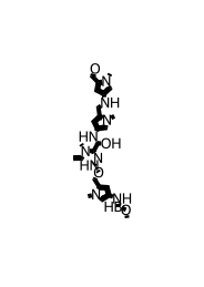 C=CN(C)/C(=N\NOCc1cc(NBOC)cn1C)C(O)Nc1cc(CNc2cc(C=O)n(C)c2)n(C)c1